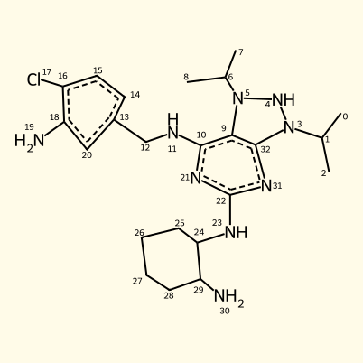 CC(C)N1NN(C(C)C)c2c(NCc3ccc(Cl)c(N)c3)nc(NC3CCCCC3N)nc21